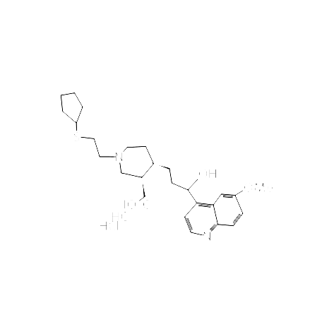 COc1ccc2nccc(C(O)CC[C@@H]3CCN(CCSC4CCCC4)C[C@@H]3CC(=O)O)c2c1.Cl.Cl